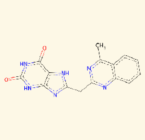 Cc1nc(Cc2nc3[nH]c(=O)[nH]c(=O)c3[nH]2)nc2ccccc12